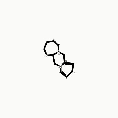 C1=CN2CC3OCCCCN3CC2=CC1